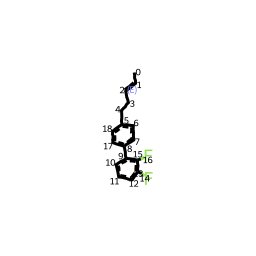 C/C=C/CCc1ccc(-c2cccc(F)c2F)cc1